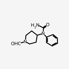 NC(=O)N(c1ccccc1)C1CCN(C=O)CC1